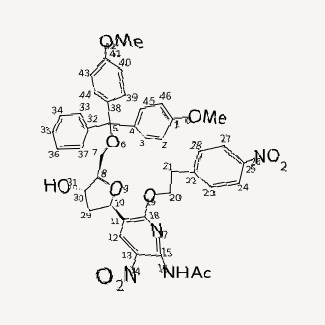 COc1ccc(C(OC[C@H]2O[C@@H](c3cc([N+](=O)[O-])c(NC(C)=O)nc3OCCc3ccc([N+](=O)[O-])cc3)C[C@@H]2O)(c2ccccc2)c2ccc(OC)cc2)cc1